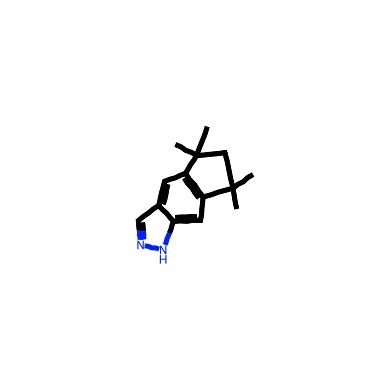 CC1(C)CC(C)(C)c2cc3[nH]ncc3cc21